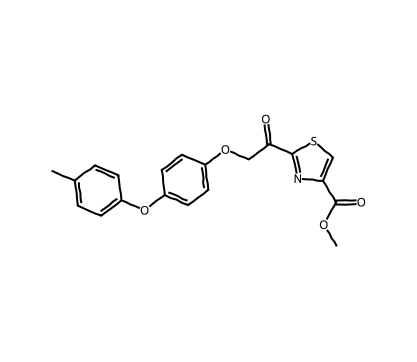 COC(=O)c1csc(C(=O)COc2ccc(Oc3ccc(C)cc3)cc2)n1